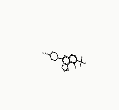 CN1CCN(c2nc3ccc(C(F)(F)F)c(F)c3c3ncnn23)CC1